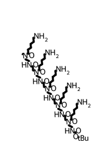 CN(CCNC(=O)CN(CCNC(=O)CN(CCNC(=O)CN(CCNC(=O)CN(CCNC(=O)OC(C)(C)C)C(=O)CCCCCN)C(=O)CCCCCN)C(=O)CCCCCN)C(=O)CCCCCN)C(=O)CCCCCN